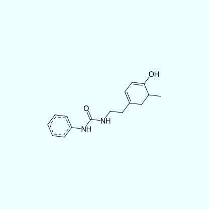 CC1CC(CCNC(=O)Nc2ccccc2)=CC=C1O